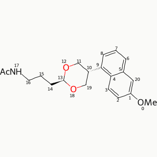 COc1ccc2c(cccc2[C@H]2CO[C@H](CCCNC(C)=O)OC2)c1